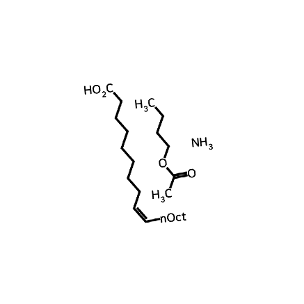 CCCCCCCC/C=C\CCCCCCCC(=O)O.CCCCOC(C)=O.N